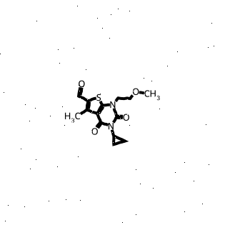 COCCn1c(=O)n(C2CC2)c(=O)c2c(C)c(C=O)sc21